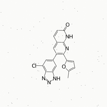 Cc1ccc(-c2nc3[nH]c(=O)ccc3cc2-c2cc(Cl)c3nn[nH]c3c2)o1